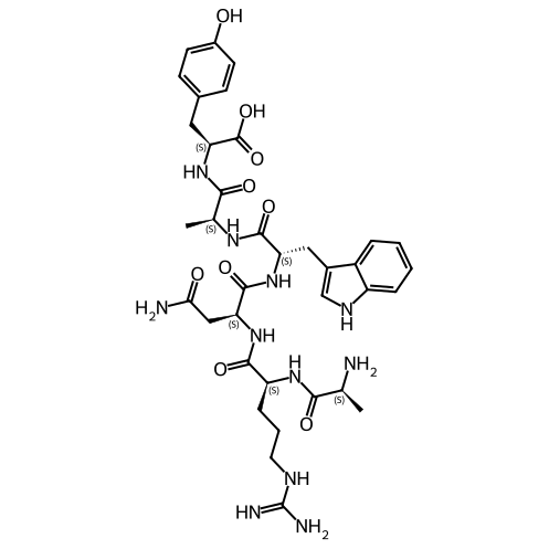 C[C@H](N)C(=O)N[C@@H](CCCNC(=N)N)C(=O)N[C@@H](CC(N)=O)C(=O)N[C@@H](Cc1c[nH]c2ccccc12)C(=O)N[C@@H](C)C(=O)N[C@@H](Cc1ccc(O)cc1)C(=O)O